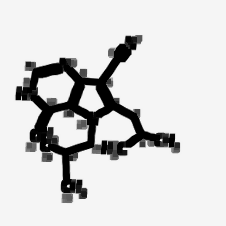 CC(C)Cc1c(C#N)c2nc[nH]c(=O)c2n1CC(C)C